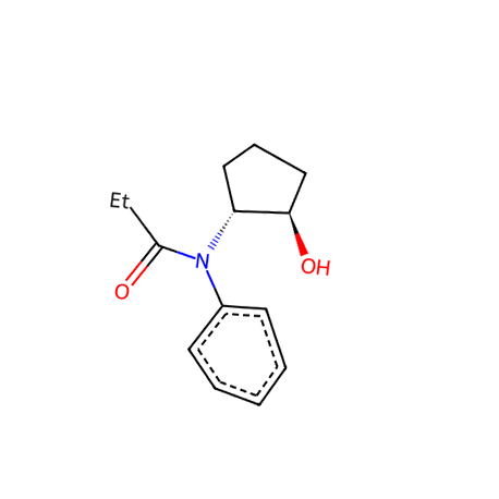 CCC(=O)N(c1ccccc1)[C@@H]1CCC[C@H]1O